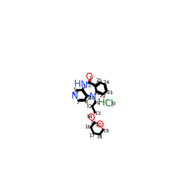 Cl.O=C1Nc2cnccc2N(CCCOC2CCCCO2)c2ccccc21